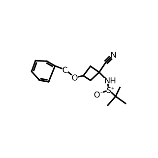 CC(C)(C)[S+]([O-])NC1(C#N)CC(OCc2ccccc2)C1